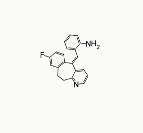 Nc1ccccc1/C=C1\c2ccc(F)cc2CCc2ncccc21